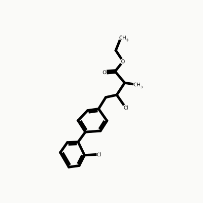 CCOC(=O)C(C)C(Cl)Cc1ccc(-c2ccccc2Cl)cc1